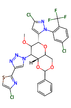 COC1C(n2cc(-c3nc(Cl)cs3)nn2)[C@H]2OC(c3ccccc3)OCC2O[C@H]1c1cc(Cl)nn1-c1cc(Cl)ccc1C(F)(F)F